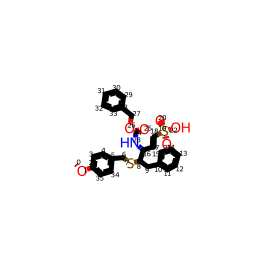 COc1ccc(CSC(Cc2ccccc2)C(/C=C/S(=O)(=O)O)NC(=O)OCc2ccccc2)cc1